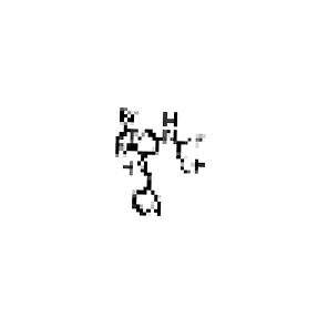 CC(C)[C@@H](CO)Nc1cc(NCc2cccnc2)c2ncc(Br)n2c1